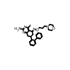 Nc1nc(I)c2c(n1)CC(c1ccccc1-c1ccccc1)C/C2=N\OCCCN1CCOCC1